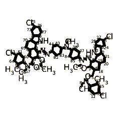 CCOc1c(CON(CC)c2ccc(Cl)cc2C)cc2ccc3c4cc(Cl)ccc4[nH]c3c2c1N=Nc1ccc(N(C)c2ccc(N=Nc3c(OCC)c(C(=O)N(CC)c4ccc(Cl)cc4C)cc4ccc5c6cc(Cl)ccc6[nH]c5c34)cc2)cc1